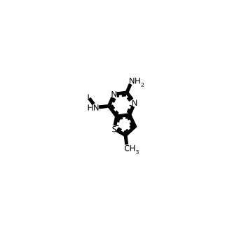 Cc1cc2nc(N)nc(NI)c2s1